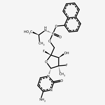 C[C@H](N[P@](=O)(OC[C@@]1(F)O[C@@H](n2ccc(N)nc2=O)[C@](C)(F)[C@@H]1O)Oc1cccc2ccccc12)C(=O)O